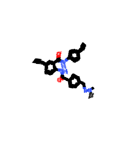 C#Cc1ccc(NC(=O)c2cc(C#C)ccc2NC(=O)c2ccc(C=NN(C)CC)cc2)cc1